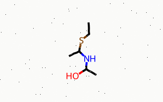 CCSC(C)NC(C)O